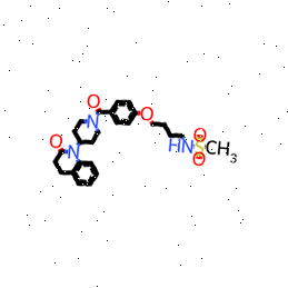 CS(=O)(=O)NCCCCOc1ccc(C(=O)N2CCC(N3C(=O)CCc4ccccc43)CC2)cc1